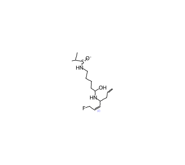 C=CCC(/C=C\CF)NC(O)CCCCN[S+]([O-])C(C)C